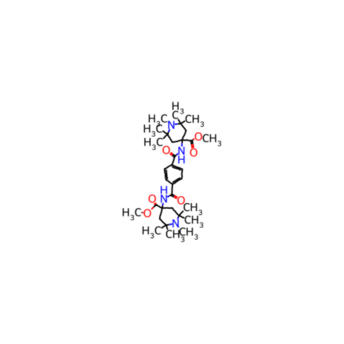 COC(=O)C1(NC(=O)c2ccc(C(=O)NC3(C(=O)OC)CC(C)(C)N(C)C(C)(C)C3)cc2)CC(C)(C)N(C)C(C)(C)C1